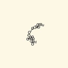 CC(C)(C)OC(=O)N1CCC(OCCCOc2ccc3c(c2)C(=O)N(C2CCC(=O)NC2=O)C3=O)CC1